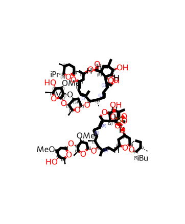 CC[C@H](C)[C@H]1O[C@]2(CC[C@@H]1C)C[C@@H]1C[C@@H](C/C=C(\C)[C@@H](O[C@H]3C[C@H](OC)[C@@H](O[C@H]4C[C@H](OC)[C@@H](O)[C@H](C)O4)[C@H](C)O3)[C@@H](C)/C=C/C=C3\CO[C@@H]4[C@H](O)C(C)=C[C@@H](C(=O)O1)[C@]34OS(C)(=O)=O)O2.CO[C@H]1C[C@H](O[C@H]2[C@H](C)O[C@@H](O[C@@H]3/C(C)=C/C[C@@H]4C[C@@H](C[C@]5(CC[C@H](C)[C@@H](C(C)C)O5)O4)OC(=O)[C@@H]4C=C(C)[C@@H](O)[C@H]5OC/C(=C\C=C\[C@@H]3C)[C@]54O)C[C@@H]2OC)O[C@@H](C)[C@@H]1O